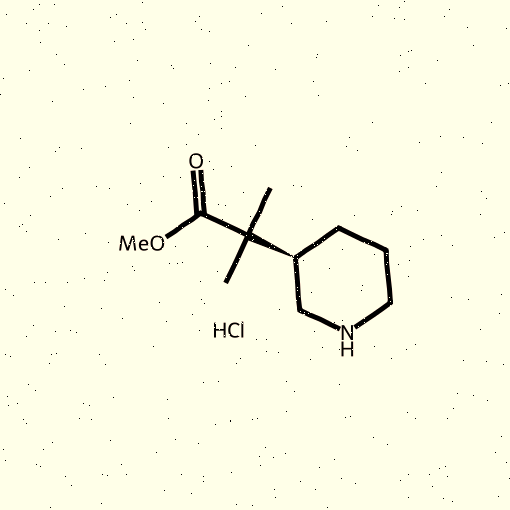 COC(=O)C(C)(C)[C@H]1CCCNC1.Cl